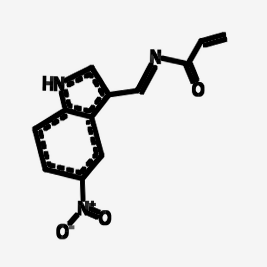 C=CC(=O)N=Cc1c[nH]c2ccc([N+](=O)[O-])cc12